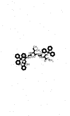 CC[C@H](C)C(NC(=O)CNC(=O)C1CC2(O)c3ccccc3NC2N1C(c1ccccc1)(c1ccccc1)c1ccccc1)C(=O)NCC(=O)NC(CSC(c1ccccc1)(c1ccccc1)c1ccccc1)C(=O)OC